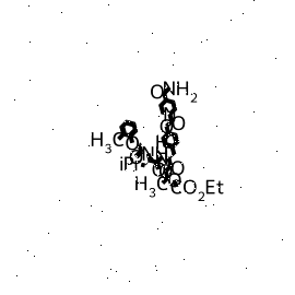 CCOC(=O)OC(C)OC(=O)[C@H](Cc1ccc(OC(=O)N2CCC(C(N)=O)CC2)cc1)NC(=O)[C@H](CC(C)C)NC(=O)COc1ccccc1C